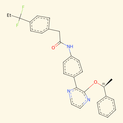 CCC(F)(F)c1ccc(CC(=O)Nc2ccc(-c3nccnc3O[C@@H](C)c3ccccc3)cc2)cc1